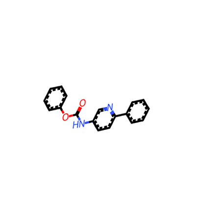 O=C(Nc1ccc(-c2ccccc2)nc1)Oc1ccccc1